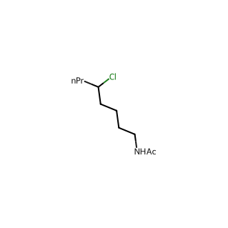 CCCC(Cl)CCCCNC(C)=O